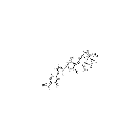 CC(C)Oc1ccc(-c2nnc(-c3cc(F)c(OCC4COC(C)(C)N4C(=O)OC(C)(C)C)c(Cl)c3)s2)cc1Cl